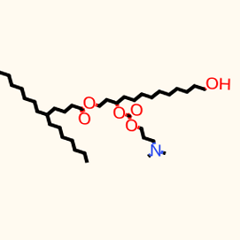 CCCCCCCC(CCCCCCC)CCCC(=O)OCCC(CCCCCCCCCCO)OC(=O)OCCCN(C)C